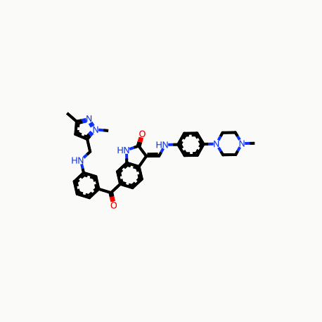 Cc1cc(CNc2cccc(C(=O)c3ccc4c(c3)NC(=O)C4=CNc3ccc(N4CCN(C)CC4)cc3)c2)n(C)n1